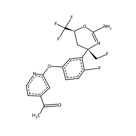 CC(=O)c1ccnc(Oc2ccc(F)c([C@]3(CF)C[C@@H](C(F)(F)F)OC(N)=N3)c2)c1